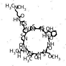 CNC(=O)C[C@@H]1NC(=O)c2csc(n2)-c2ccc(-c3nc(NC(=O)CCCN(C)C)cs3)nc2-c2csc(n2)-c2csc(n2)[C@H]([C@@H](O)c2ccccc2)NC(=O)CNC(=O)c2nc(sc2COC)NC(=O)c2nc1sc2C